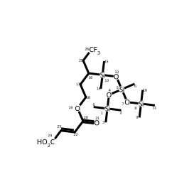 C[Si](C)(C)O[Si](C)(O[Si](C)(C)C)O[Si](C)(C)C(CCOC(=O)C=CC(=O)O)CC(F)(F)F